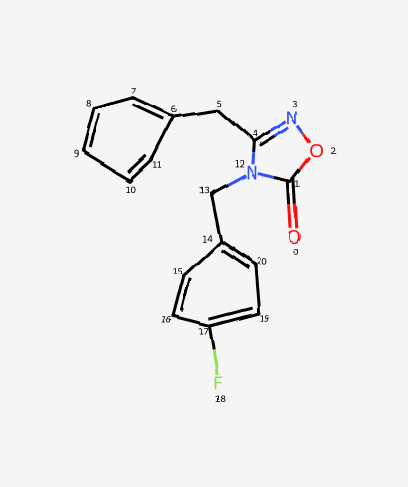 O=c1onc(Cc2ccccc2)n1Cc1ccc(F)cc1